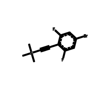 C[Si](C)(C)C#Cc1c(F)cc(Br)cc1F